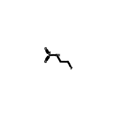 O=[SH](=O)NCCF